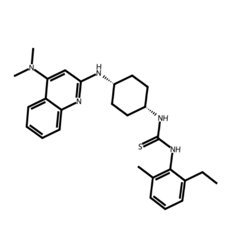 CCc1cccc(C)c1NC(=S)N[C@H]1CC[C@@H](Nc2cc(N(C)C)c3ccccc3n2)CC1